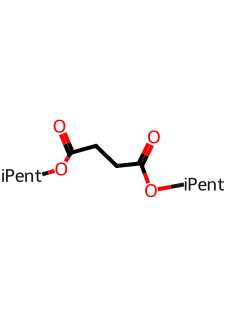 CCCC(C)OC(=O)CCC(=O)OC(C)CCC